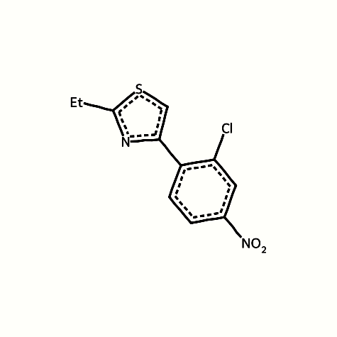 CCc1nc(-c2ccc([N+](=O)[O-])cc2Cl)cs1